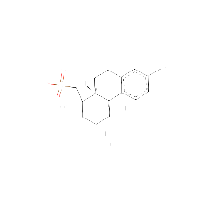 CC(C)c1ccc2c(c1)CC[C@H]1[C@@](CS(=O)(=O)[O-])(C(=O)[O-])CCC[C@]21C.[Li+].[Li+]